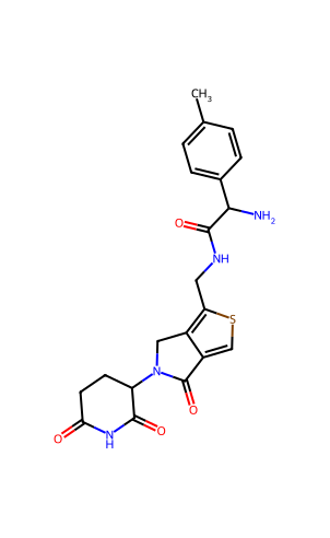 Cc1ccc(C(N)C(=O)NCc2scc3c2CN(C2CCC(=O)NC2=O)C3=O)cc1